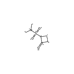 CN(C)S(=O)(=O)C1CCC1=O